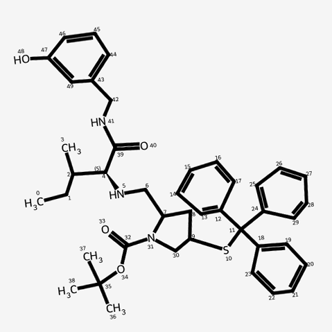 CCC(C)[C@H](NCC1CC(SC(c2ccccc2)(c2ccccc2)c2ccccc2)CN1C(=O)OC(C)(C)C)C(=O)NCc1cccc(O)c1